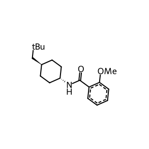 COc1ccccc1C(=O)N[C@H]1CC[C@H](CC(C)(C)C)CC1